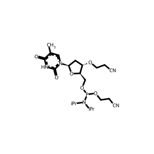 Cc1cn([C@H]2C[C@H](OCCC#N)[C@@H](COP(OCCC#N)N(C(C)C)C(C)C)O2)c(=O)[nH]c1=O